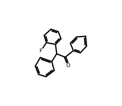 O=C(c1ccccc1)C(c1ccccc1)c1ccccc1F